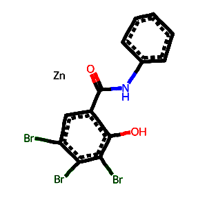 O=C(Nc1ccccc1)c1cc(Br)c(Br)c(Br)c1O.[Zn]